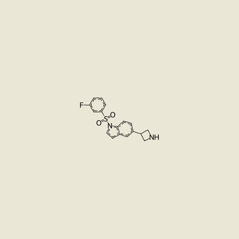 O=S(=O)(c1cccc(F)c1)n1ccc2cc(C3CNC3)ccc21